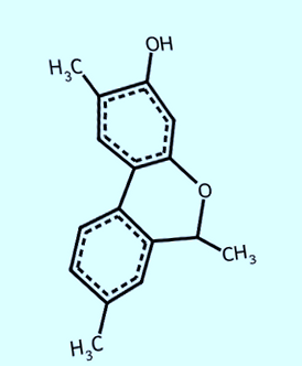 Cc1ccc2c(c1)C(C)Oc1cc(O)c(C)cc1-2